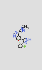 Cn1cc(-c2ncnc3ccc(-c4c[nH]nc4-c4c(F)cccc4F)cc23)cn1